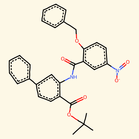 CC(C)(C)OC(=O)c1ccc(-c2ccccc2)cc1NC(=O)c1cc([N+](=O)[O-])ccc1OCc1ccccc1